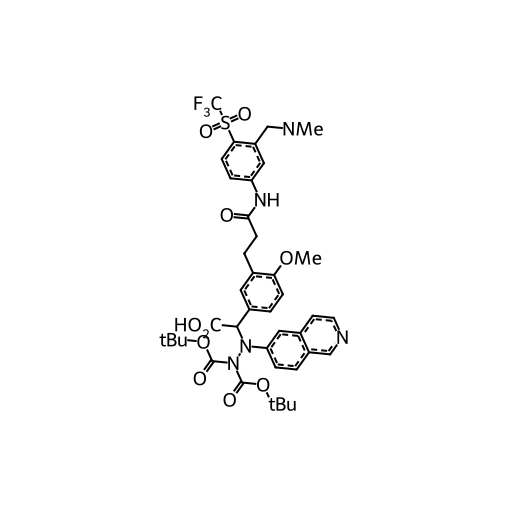 CNCc1cc(NC(=O)CCc2cc(C(C(=O)O)N(c3ccc4cnccc4c3)N(C(=O)OC(C)(C)C)C(=O)OC(C)(C)C)ccc2OC)ccc1S(=O)(=O)C(F)(F)F